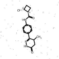 CC1CC(=O)NN=C1c1ccc(NC(=O)[C@@H]2CC[C@H]2Cl)cc1